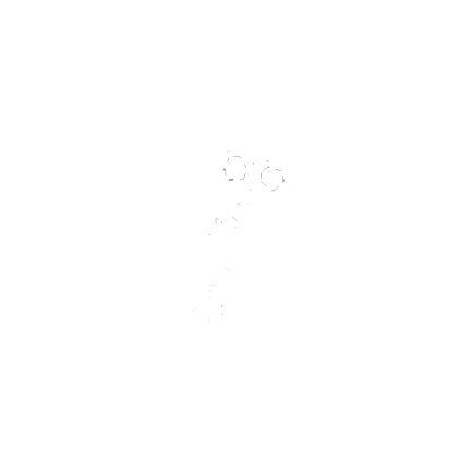 C[C@@H](COC[C@H](NC(=O)OCC1c2ccccc2-c2ccccc21)C(=O)O)O[C@H]1CCCCO1